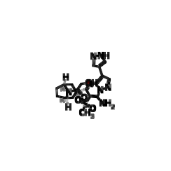 CS(=O)(=O)c1c([C@@H]2C[C@H]3CC[C@@H](C2)N3C(=O)CO)nc2c(-c3cn[nH]c3)cnn2c1N